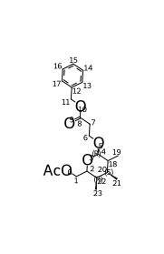 CC(=O)OCC1O[C@@H](OCCC(=O)OCc2ccccc2)C(C)[C@@H](C)[C@H]1C